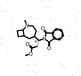 COC(=O)C[C@H](C1CCN(C)C2CCC2C1)N1C(=O)c2ccccc2C1=O